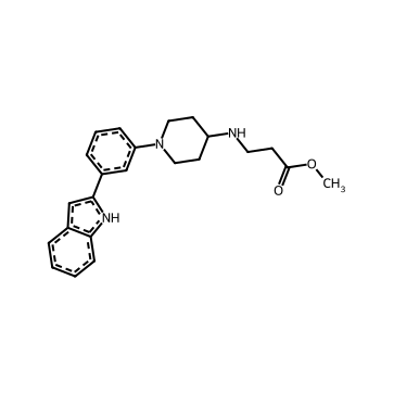 COC(=O)CCNC1CCN(c2cccc(-c3cc4ccccc4[nH]3)c2)CC1